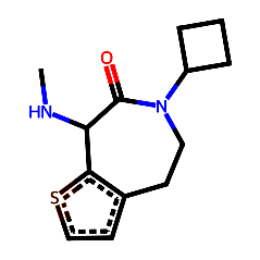 CNC1C(=O)N(C2CCC2)CCc2ccsc21